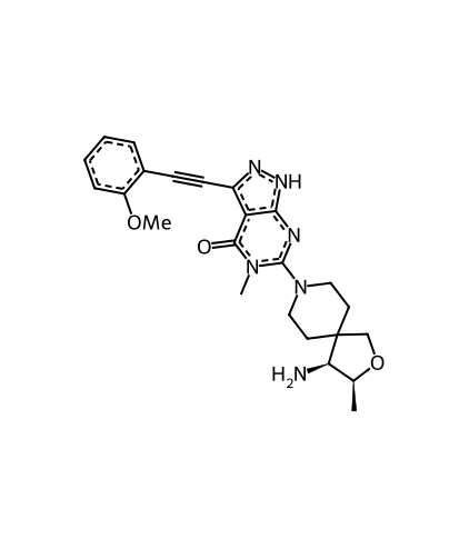 COc1ccccc1C#Cc1n[nH]c2nc(N3CCC4(CC3)CO[C@@H](C)[C@H]4N)n(C)c(=O)c12